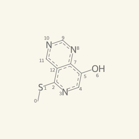 CSc1ncc(O)c2ncncc12